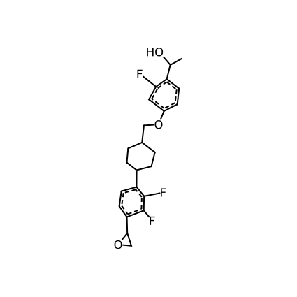 CC(O)c1ccc(OCC2CCC(c3ccc(C4CO4)c(F)c3F)CC2)cc1F